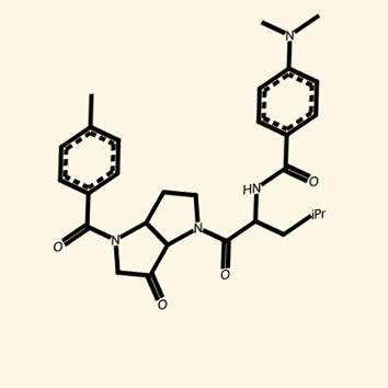 Cc1ccc(C(=O)N2CC(=O)C3C2CCN3C(=O)C(CC(C)C)NC(=O)c2ccc(N(C)C)cc2)cc1